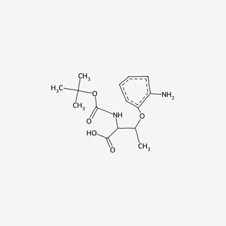 CC(Oc1ccccc1N)C(NC(=O)OC(C)(C)C)C(=O)O